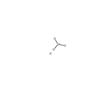 [K+].[O-][I+2]([O-])[O-]